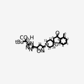 Cc1cccc2c1C(=O)CC1(CCN(C3=NOC(c4nnn(C(C(=O)O)C(C)(C)C)n4)C3)CC1)O2